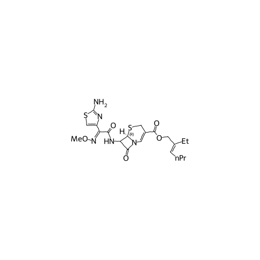 CCCC=C(CC)COC(=O)C1=CN2C(=O)C(NC(=O)C(=NOC)c3csc(N)n3)[C@H]2SC1